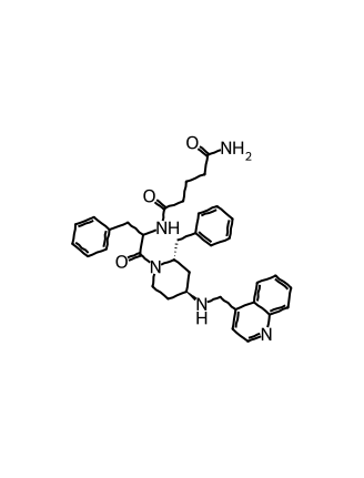 NC(=O)CCCC(=O)NC(Cc1ccccc1)C(=O)N1CC[C@H](NCc2ccnc3ccccc23)C[C@H]1Cc1ccccc1